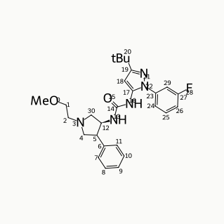 COCCN1CC(c2ccccc2)[C@H](NC(=O)Nc2cc(C(C)(C)C)nn2-c2cccc(F)c2)C1